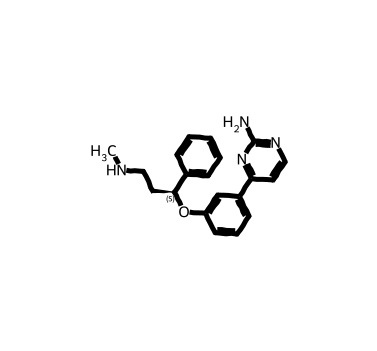 CNCC[C@H](Oc1cccc(-c2ccnc(N)n2)c1)c1ccccc1